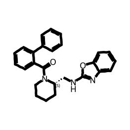 O=C(c1ccccc1-c1ccccc1)N1CCCC[C@H]1CNc1nc2ccccc2o1